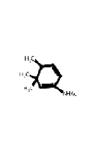 CC(=O)NC1=CC(C)(C)C(C)C=C1